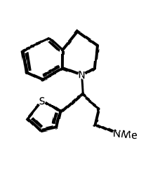 CNCCC(c1cccs1)N1CCCc2ccccc21